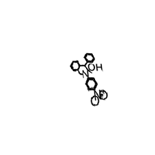 CC1(O)C(c2ccccc2)c2ccccc2CN1c1ccc([N+](=O)[O-])cc1